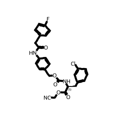 N#CCOC(=O)[C@H](Cc1cccc(Cl)c1)NC(=O)OCc1ccc(NC(=O)Cc2ccc(F)cc2)cc1